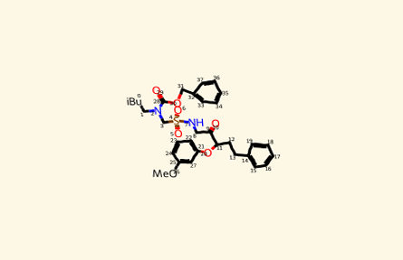 CCC(C)CN(CS(=O)(=O)NCC(=O)C(CCc1ccccc1)Oc1cccc(OC)c1)C(=O)OCc1ccccc1